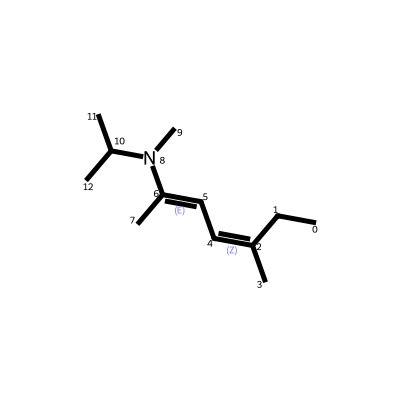 CC/C(C)=C\C=C(/C)N(C)C(C)C